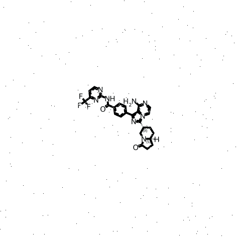 Nc1nccn2c([C@@H]3CC[C@H]4CCC(=O)N4C3)nc(-c3ccc(C(=O)Nc4nccc(C(F)(F)F)n4)cc3)c12